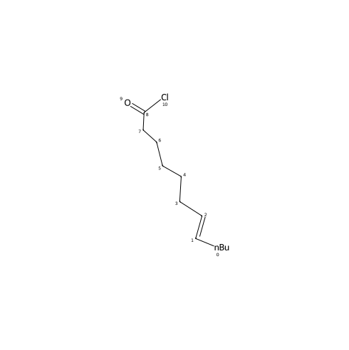 CCCCC=CCCCCCC(=O)Cl